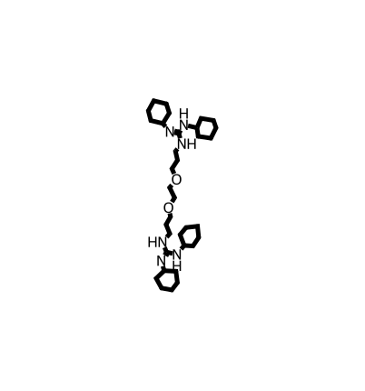 C1CCC(N=C(NCCCOCCOCCCNC(=NC2CCCCC2)NC2CCCCC2)NC2CCCCC2)CC1